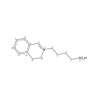 O=S(=O)(O)CCCC[N+]1=Cc2ccccc2CC1